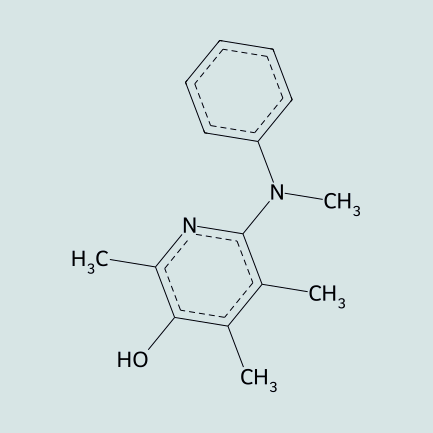 Cc1nc(N(C)c2ccccc2)c(C)c(C)c1O